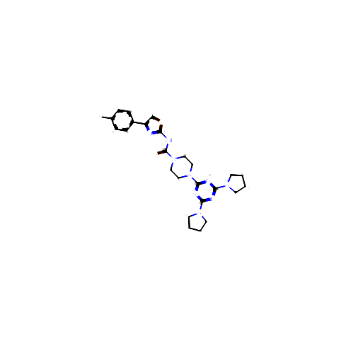 O=[N+]([O-])c1ccc(-c2csc(NC(=S)N3CCN(c4nc(N5CCCC5)nc(N5CCCC5)n4)CC3)n2)cc1